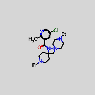 CCN1CCN(CC2(NC(=O)c3cc(Cl)cnc3C)CCN(C(C)C)CC2)CC1